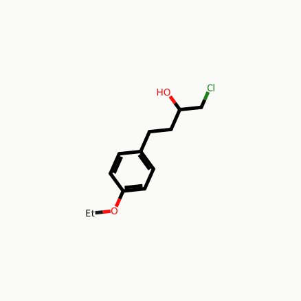 CCOc1ccc(CCC(O)CCl)cc1